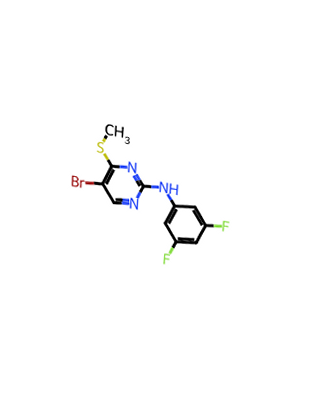 CSc1nc(Nc2cc(F)cc(F)c2)ncc1Br